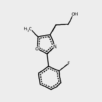 Cc1oc(-c2ccccc2F)nc1CCO